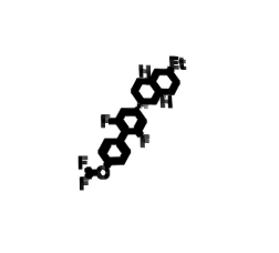 CCC1CC[C@@H]2C[C@H](c3cc(F)c(-c4ccc(OC(F)F)cc4)c(F)c3)CC[C@@H]2C1